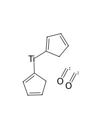 C1=CC[C]([Ti][C]2=CC=CC2)=C1.[C]=O.[C]=O